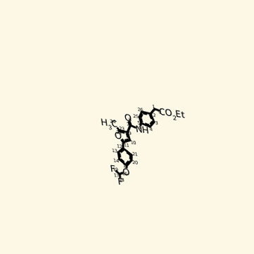 CCOC(=O)Cc1ccc(NC(=O)c2cc(-c3ccc(OC(F)F)cc3)oc2C)cc1